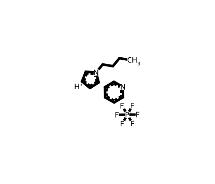 CCCCn1cccc1.F[P-](F)(F)(F)(F)F.[H+].c1ccncc1